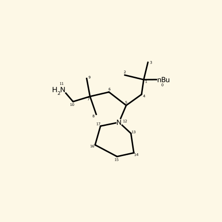 CCCCC(C)(C)CC(CC(C)(C)CN)N1CCCCC1